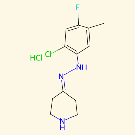 Cc1cc(NN=C2CCNCC2)c(Cl)cc1F.Cl